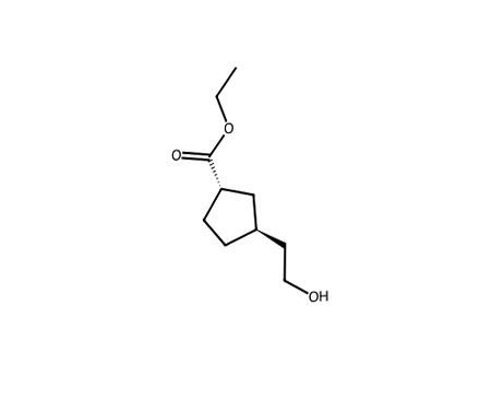 CCOC(=O)[C@H]1CC[C@H](CCO)C1